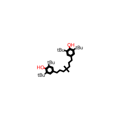 CC(C)(CCCc1cc(C(C)(C)C)c(O)c(C(C)(C)C)c1)CCCc1cc(C(C)(C)C)c(O)c(C(C)(C)C)c1